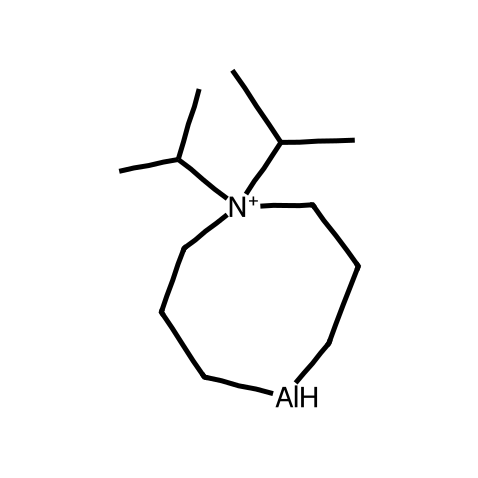 CC(C)[N+]1(C(C)C)CC[CH2][AlH][CH2]CC1